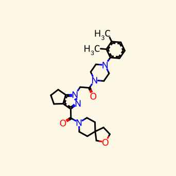 Cc1cccc(N2CCN(C(=O)Cn3nc(C(=O)N4CCC5(CCOC5)CC4)c4c3CCC4)CC2)c1C